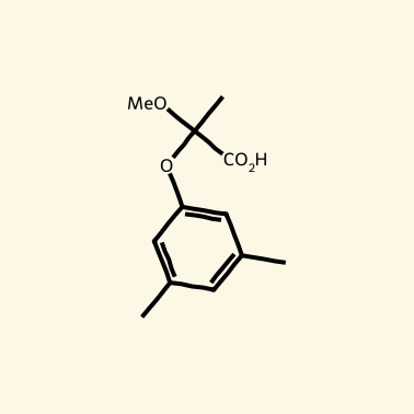 COC(C)(Oc1cc(C)cc(C)c1)C(=O)O